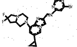 FC1(F)CC2CN(c3cc(C4CC4)cn4cc(CNc5cc(Br)ncn5)nc34)CCN2C1